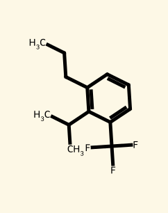 CCCc1cccc(C(F)(F)F)c1C(C)C